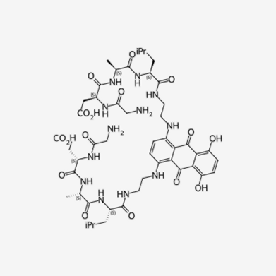 CC(C)C[C@H](NC(=O)[C@H](C)NC(=O)[C@H](CC(=O)O)NC(=O)CN)C(=O)NCCNc1ccc(NCCNC(=O)[C@H](CC(C)C)NC(=O)[C@H](C)NC(=O)[C@H](CC(=O)O)NC(=O)CN)c2c1C(=O)c1c(O)ccc(O)c1C2=O